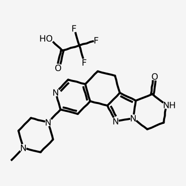 CN1CCN(c2cc3c(cn2)CCc2c-3nn3c2C(=O)NCC3)CC1.O=C(O)C(F)(F)F